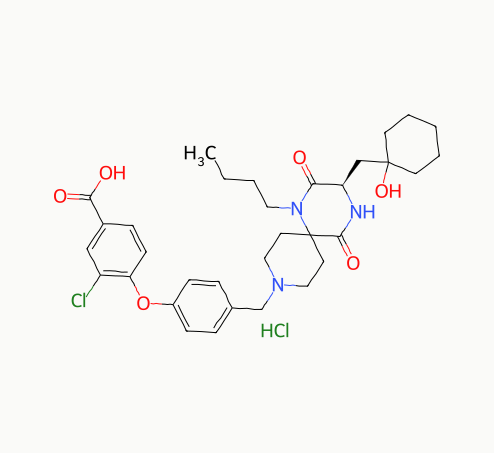 CCCCN1C(=O)[C@@H](CC2(O)CCCCC2)NC(=O)C12CCN(Cc1ccc(Oc3ccc(C(=O)O)cc3Cl)cc1)CC2.Cl